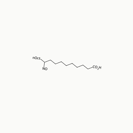 CCCCCCCCC(CCCCCCCCC(=O)O)N=O